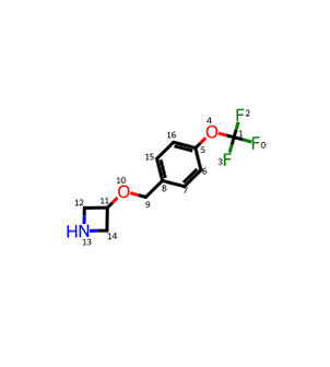 FC(F)(F)Oc1ccc(COC2CNC2)cc1